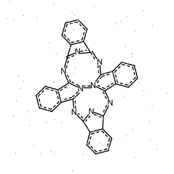 c1ccc2c(c1)-c1nc-2nc2c3ccccc3c3nc4nc(nc5c6ccccc6c(n1)n5n23)-c1ccccc1-4